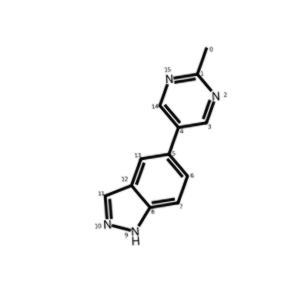 Cc1ncc(-c2ccc3[nH]n[c]c3c2)cn1